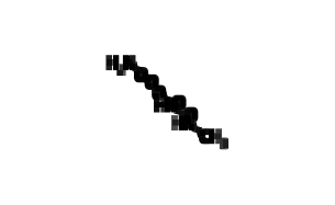 CCCCCNC(=O)CCCC(=O)NCCCOCCOCCOCCCN